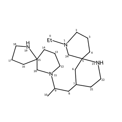 CCN1CCCC2(CC(CC(C)N3CCCC4(CCCN4)C3)CCN2)C1